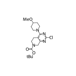 COC1CCN(c2nc(Cl)nc3c2CCN(C(=O)OC(C)(C)C)C3)CC1